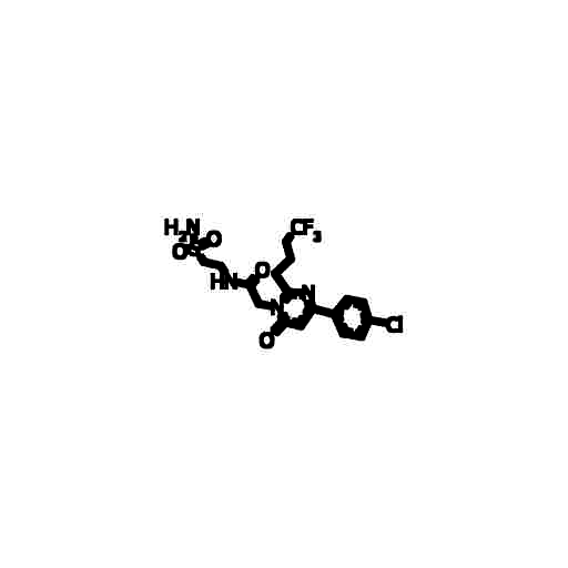 NS(=O)(=O)CCNC(=O)Cn1c(CCCC(F)(F)F)nc(-c2ccc(Cl)cc2)cc1=O